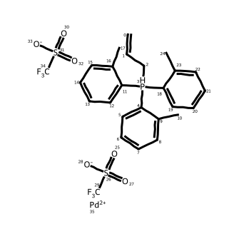 C=CC[PH](c1ccccc1C)(c1ccccc1C)c1ccccc1C.O=S(=O)([O-])C(F)(F)F.O=S(=O)([O-])C(F)(F)F.[Pd+2]